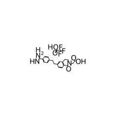 N=C(N)c1ccc(CCc2ccc3c(c2)CCN(CC(=O)O)C3=O)cc1.O=C(O)C(F)(F)F